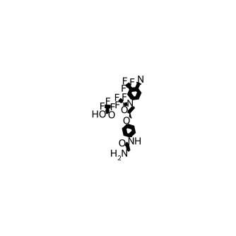 N#Cc1ccc(N2C[C@@H](COc3ccc(NC(=O)CN)cc3)O[C@@H]2C(F)(F)F)cc1C(F)(F)F.O=C(O)C(F)(F)F